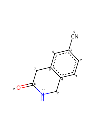 N#Cc1ccc2c(c1)CC(=O)NC2